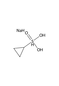 O=[SH](O)(O)C1CC1.[NaH]